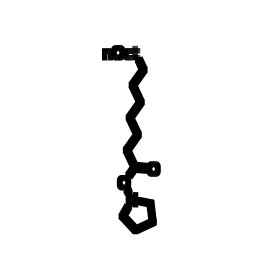 CCCCCCCCCCCCCCC(=O)ON1CCCC1